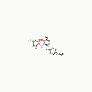 O=C(O)c1ccc(Cn2ccc(=O)c(O)c2Cc2ccc(F)cc2)cc1